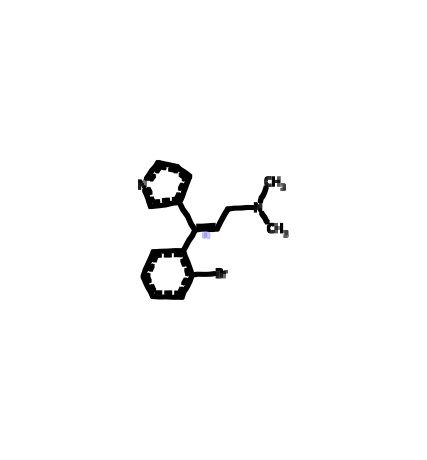 CN(C)C/C=C(\c1cccnc1)c1ccccc1Br